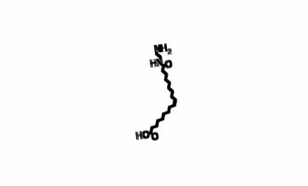 NCCNC(=O)CCCCCCC/C=C\CCCCCCCC(=O)O